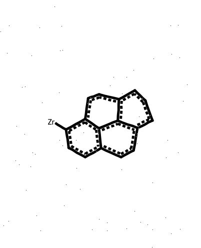 [Zr][c]1ccc2ccc3cccc4ccc1c2c34